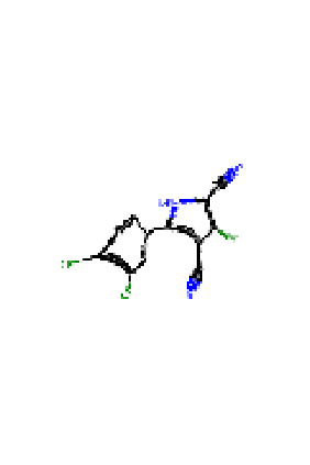 N#Cc1[nH]c(-c2ccc(Cl)c(Cl)c2)c(C#N)c1Br